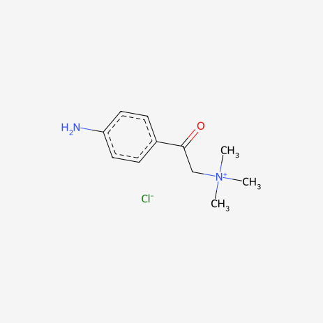 C[N+](C)(C)CC(=O)c1ccc(N)cc1.[Cl-]